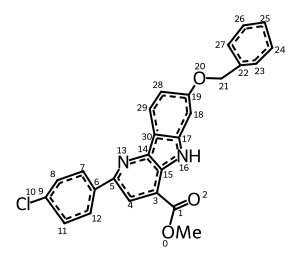 COC(=O)c1cc(-c2ccc(Cl)cc2)nc2c1[nH]c1cc(OCc3ccccc3)ccc12